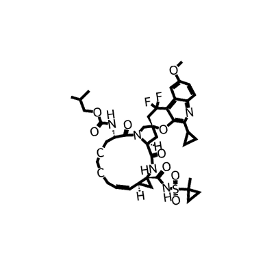 COc1ccc2nc(C3CC3)c3c(c2c1)C(F)(F)C[C@]1(C[C@H]2C(=O)N[C@]4(C(=O)NS(=O)(=O)C5(C)CC5)C[C@H]4/C=C\CCCCC[C@H](NC(=O)OCC(C)C)C(=O)N2C1)O3